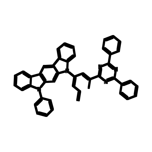 C=C/C=C(\C=C(/C)c1nc(-c2ccccc2)nc(-c2ccccc2)n1)n1c2ccccc2c2cc3c4ccccc4n(-c4ccccc4)c3cc21